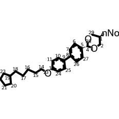 CCCCCCCCC[C@H]1CO[C@H](c2ccc(-c3ccc(OCCCCCC4CCCC4)cc3)cc2)OC1